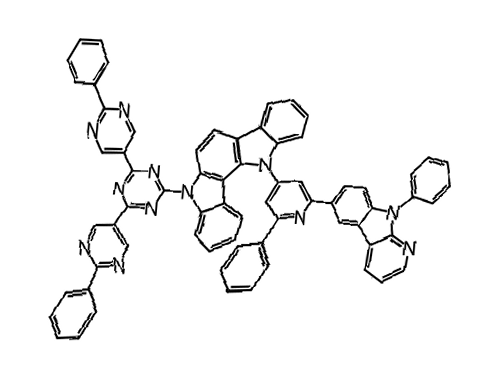 c1ccc(-c2cc(-n3c4ccccc4c4ccc5c(c6ccccc6n5-c5nc(-c6cnc(-c7ccccc7)nc6)nc(-c6cnc(-c7ccccc7)nc6)n5)c43)cc(-c3ccc4c(c3)c3cccnc3n4-c3ccccc3)n2)cc1